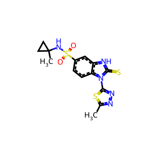 Cc1nnc(-n2c(=S)[nH]c3cc(S(=O)(=O)NC4(C)CC4)ccc32)s1